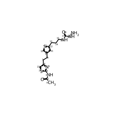 CC(=O)Nc1nc(CCc2csc(CCCNC(=O)NN)c2)cs1